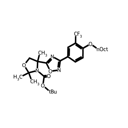 CCCCCCCCOc1ccc(-c2noc(C3(C)COC(C)(C)N3C(=O)OC(C)(C)C)n2)cc1C(F)(F)F